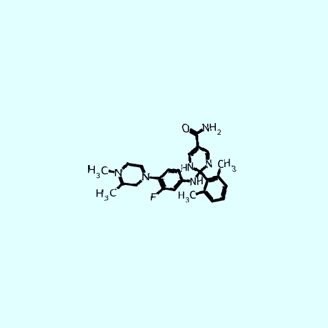 Cc1cccc(C)c1C1(Nc2ccc(N3CCN(C)C(C)C3)c(F)c2)N=CC(C(N)=O)=CN1